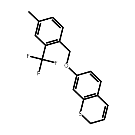 Cc1ccc(COc2ccc3c(c2)SCC=C3)c(C(F)(F)F)c1